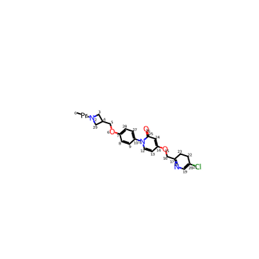 [CH3][Pr][N]1CC(COc2ccc(-n3ccc(OCC4=NC=C(Cl)CC4)cc3=O)cc2)C1